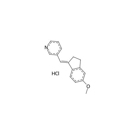 COc1ccc2c(c1)CC/C2=C\c1cccnc1.Cl